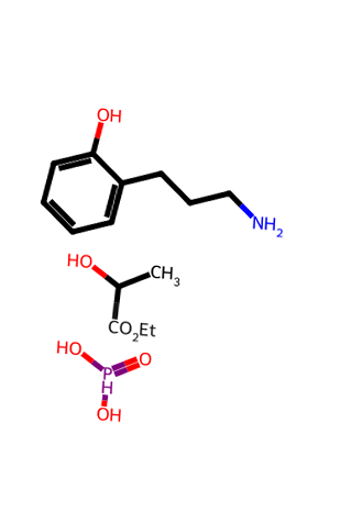 CCOC(=O)C(C)O.NCCCc1ccccc1O.O=[PH](O)O